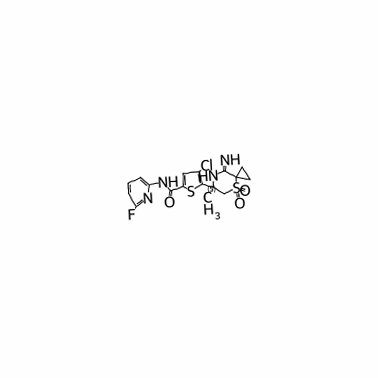 C[C@@]1(c2sc(C(=O)Nc3cccc(F)n3)cc2Cl)CS(=O)(=O)C2(CC2)C(=N)N1